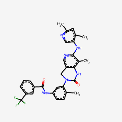 Cc1cc(C)c(Nc2ncc3c(c2C)NC(=O)N(c2cc(NC(=O)c4cccc(C(F)(F)F)c4)ccc2C)C3)cn1